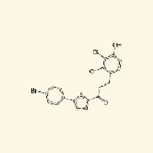 O=C(CCc1ccc(O)c(Cl)c1Cl)c1ccc(-c2ccc(Br)cc2)s1